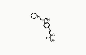 O=C(C=Cc1ccc2c(c1)ncn2CCN1CCCCC1)NO